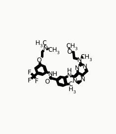 COCCN(C)c1ncc2ncnc(Nc3cc(C(=O)Nc4cc(OCCN(C)C)cc(C(F)(F)F)c4)ccc3C)c2n1